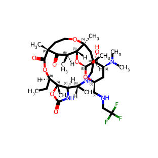 CC[C@H]1OC(=O)[C@]2(C)CCO[C@@](C)(C[C@@H](C)CN[C@H](C)[C@H]3NC(=O)O[C@@]31C)[C@H](O[C@@H]1O[C@H](CNCC(F)(F)F)C[C@H](N(C)C)[C@H]1O)[C@@H](C)C2=O